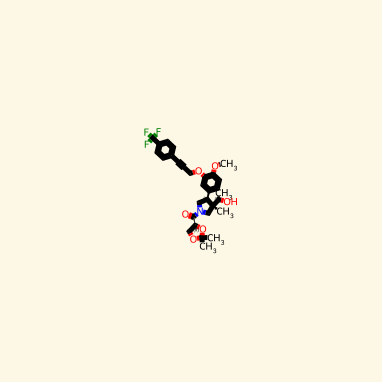 COc1ccc([C@@H]2CN(C(=O)[C@H]3COC(C)(C)O3)C[C@@]2(C)[C@@H](C)O)cc1OCC#Cc1ccc(C(F)(F)F)cc1